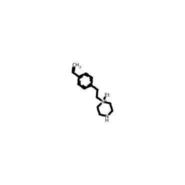 C=Cc1ccc(CC[N+]2(CC)CCNCC2)cc1